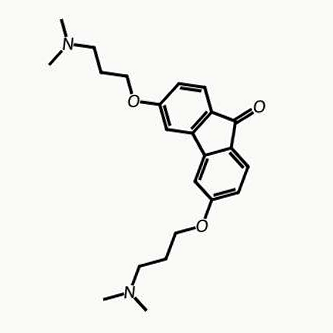 CN(C)CCCOc1ccc2c(c1)-c1cc(OCCCN(C)C)ccc1C2=O